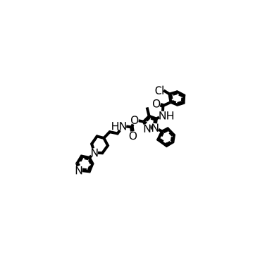 Cc1c(OC(=O)NCCC2CCN(c3ccncc3)CC2)nn(-c2ccccc2)c1NC(=O)c1ccccc1Cl